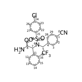 N#Cc1ccc(CN(C(C(N)=O)c2ccccc2C(F)(F)F)S(=O)(=O)c2ccc(Cl)cc2)cc1